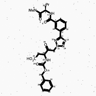 CNC(=O)[C@H](NC(=O)c1cccc(-c2nnn(CC(=O)C(CC(=O)O)NC(=O)OCc3ccccc3)n2)c1)C(C)C